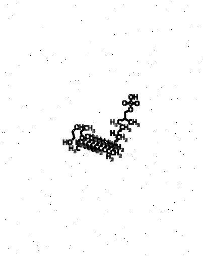 C=C.C=C.C=C.C=C.C=C.C=C.C=C.C=C.C=C.C=C.CC(C)COS(=O)(=O)O.CCOCC.OCCO